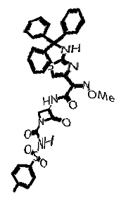 CO/N=C(\C(=O)N[C@H]1CN(C(=O)NS(=O)(=O)c2ccc(C)cc2)C1=O)c1csc(NC(c2ccccc2)(c2ccccc2)c2ccccc2)n1